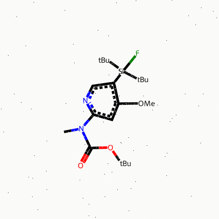 COc1cc(N(C)C(=O)OC(C)(C)C)ncc1[Si](F)(C(C)(C)C)C(C)(C)C